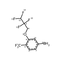 Bc1ccc(C(F)(F)F)c(OCC(F)(F)C(F)F)c1